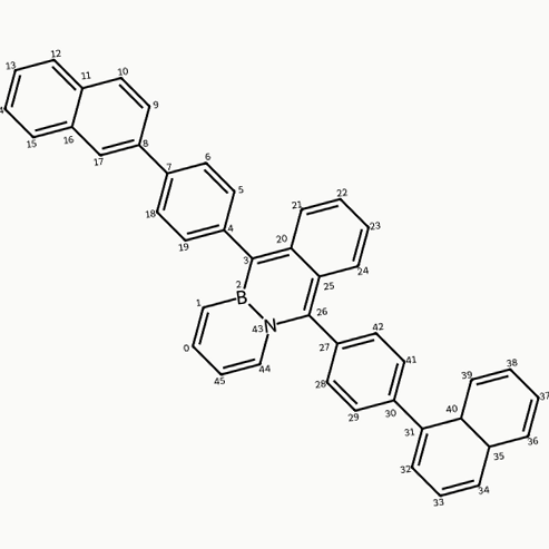 C1=CB2C(c3ccc(-c4ccc5ccccc5c4)cc3)=c3ccccc3=C(c3ccc(C4=CC=CC5C=CC=CC45)cc3)N2C=C1